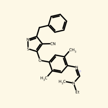 CCN(C)/C=N\c1cc(C)c(Oc2snc(Cc3ccccc3)c2C#N)cc1C